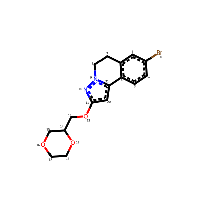 Brc1ccc2c(c1)CCn1nc(OCC3COCCO3)cc1-2